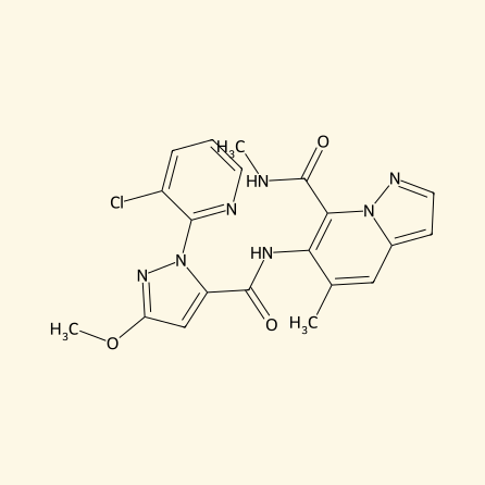 CNC(=O)c1c(NC(=O)c2cc(OC)nn2-c2ncccc2Cl)c(C)cc2ccnn12